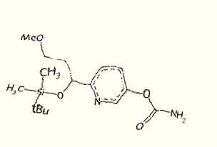 COCCC(O[Si](C)(C)C(C)(C)C)c1ccc(OC(N)=O)cn1